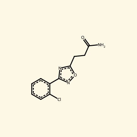 NC(=O)CCc1nc(-c2ccccc2Cl)no1